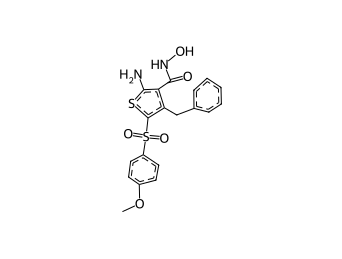 COc1ccc(S(=O)(=O)c2sc(N)c(C(=O)NO)c2Cc2ccccc2)cc1